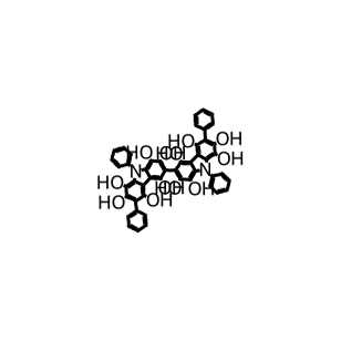 Oc1c(-c2ccccc2)c(O)c2c3c(O)c(-c4c(O)c(O)c5c(c4O)c4c(O)c(-c6ccccc6)c(O)c(O)c4n5-c4ccccc4)c(O)c(O)c3n(-c3ccccc3)c2c1O